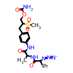 CC(NC(=O)C(N=[N+]=[N-])C(C)C)C(=O)Nc1ccc(CC(COC(N)=O)S(C)(=O)=O)cc1